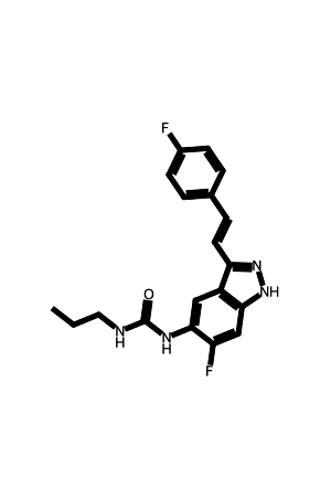 CCCNC(=O)Nc1cc2c(C=Cc3ccc(F)cc3)n[nH]c2cc1F